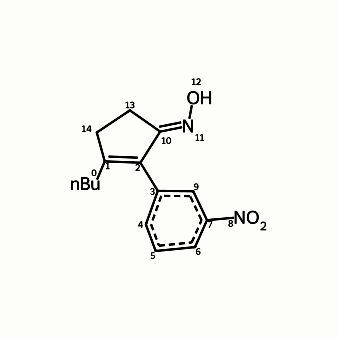 CCCCC1=C(c2cccc([N+](=O)[O-])c2)C(=NO)CC1